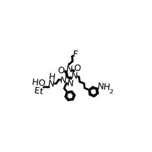 CCC(O)CNCCn1c(Cc2ccccc2)nc2c1c(=O)n(CCCF)c(=O)n2CCCCc1cccc(N)c1